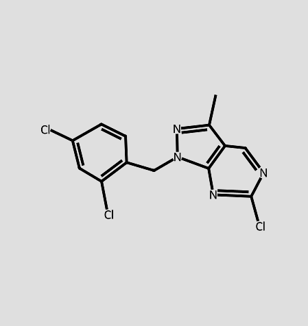 Cc1nn(Cc2ccc(Cl)cc2Cl)c2nc(Cl)ncc12